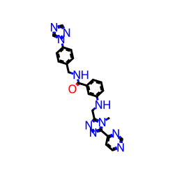 Cn1c(CNc2cccc(C(=O)NCc3ccc(-n4cncn4)cc3)c2)nnc1-c1ccncn1